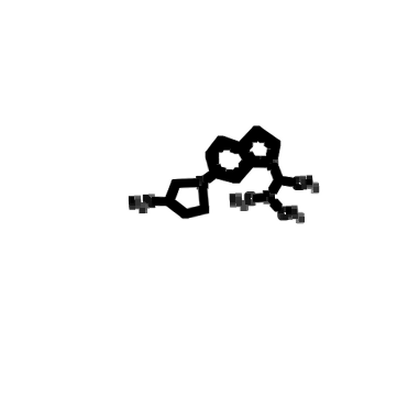 CC(N(C)C)n1ccc2ccc(N3CCC(N)C3)cc21